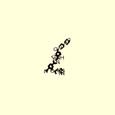 COc1cc(C(=O)N2CCC(N3CCOCC3)CC2)ccc1Nc1ncc(-c2ccc(C#N)c(OC(C)Cn3cnnn3)c2)cn1